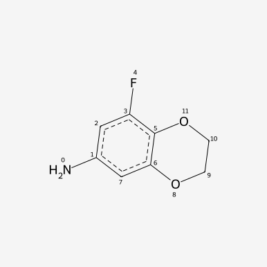 Nc1cc(F)c2c(c1)OCCO2